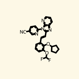 N#Cc1ccc(-n2c(/C=C/c3cccc(OC(F)F)c3OC3CCCC3)nc3cccnc32)nc1